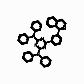 c1ccc(N(c2ccccc2)c2nc(-c3cccc(-c4nccc5ccccc45)c3)nc(N(c3ccccc3)c3ccccc3)n2)cc1